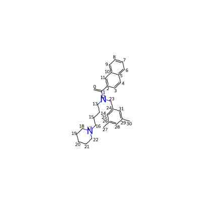 C=C(c1ccc2ccccc2c1)N(CCCCN1CCCCC1)Cc1cc(C)cc(C)c1